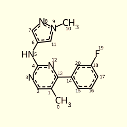 Cc1cnc(Nc2cnn(C)c2)nc1-c1cccc(F)c1